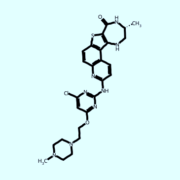 C[C@@H]1CNc2c(sc3ccc4nc(Nc5nc(Cl)cc(OCCN6CCN(C)CC6)n5)ccc4c23)C(=O)N1